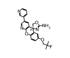 CC(C)(F)COc1ccc2c(c1)[C@]1(COC(N)=N1)c1cc(-c3cccnc3)cnc1O2